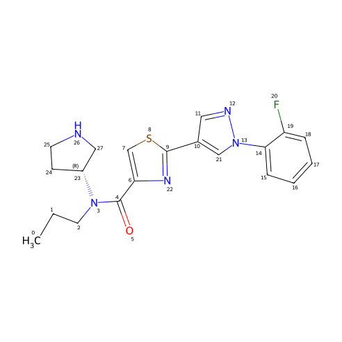 CCCN(C(=O)c1csc(-c2cnn(-c3ccccc3F)c2)n1)[C@@H]1CCNC1